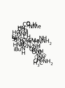 CCSSCC(NC(=O)C(NC(=O)CNC(=O)C(CCSC)NC(=O)C(CCCNC(=N)N)NC(=O)C(Cc1ccccc1)NC(=O)C1CCCN1C(=O)C(C)N)C(C)CC)C(=O)NC(C(=O)NC(C(=O)NC(CC(=O)NC)C(=O)O)C(C)O)C(C)O